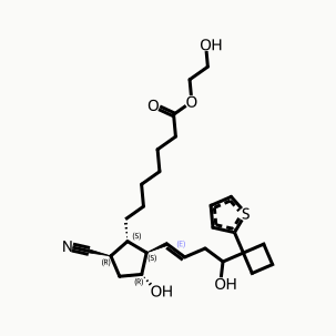 N#C[C@@H]1C[C@@H](O)[C@H](/C=C/CC(O)C2(c3cccs3)CCC2)[C@H]1CCCCCCC(=O)OCCO